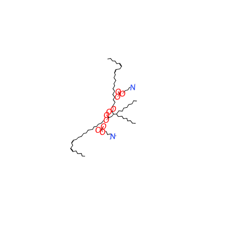 CCCCC/C=C\C/C=C\CCCCCCCCC(CCCOC(=O)CC(C(=O)OCCCC(CCCCCCCC/C=C\C/C=C\CCCCC)OC(=O)OCCCN(C)C)C(CCCCCCCC)CCCCCCCC)OC(=O)OCCCN(C)C